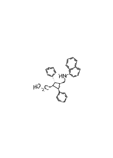 O=C(O)[C@H]1[C@H](c2ccccc2)[C@@H](CNc2cccc3ccccc23)[C@H]1c1ccccc1